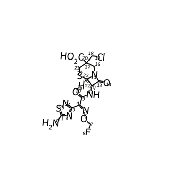 Nc1nc(C(=NOCF)C(=O)N[C@@H]2C(=O)N3CC(CCl)(C(=O)O)CS[C@H]23)ns1